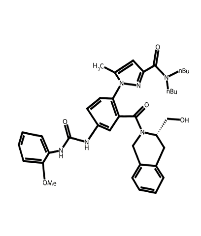 CCCCN(CCCC)C(=O)c1cc(C)n(-c2ccc(NC(=O)Nc3ccccc3OC)cc2C(=O)N2Cc3ccccc3C[C@H]2CO)n1